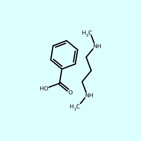 CNCCCNC.O=C(O)c1ccccc1